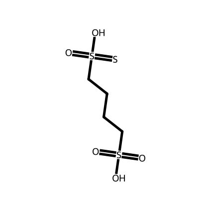 O=S(=O)(O)CCCCS(=O)(O)=S